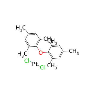 Cc1cc(C)c(Oc2c(C)cc(C)cc2C)c(C)c1.[Cl][Pt][Cl]